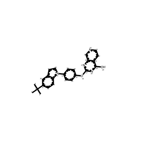 CC(C)(C)c1ccc2c(ccn2-c2ccc(Oc3nc(O)c4ccncc4n3)cc2)c1